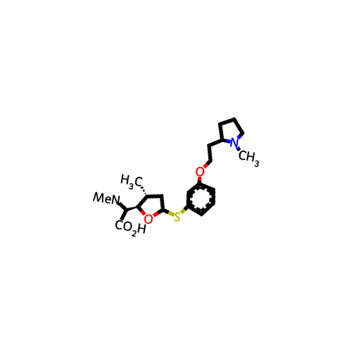 CNC(C(=O)O)[C@@H]1OC(Sc2cccc(OCCC3CCCN3C)c2)C[C@H]1C